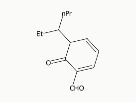 CCCC(CC)C1C=CC=C(C=O)C1=O